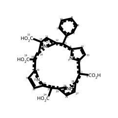 O=C(O)c1c2nc(c(-c3ccccc3)c3cc(C(=O)O)c([nH]3)c(C(=O)O)c3nc(c(C(=O)O)c4ccc1[nH]4)C=C3)C=C2